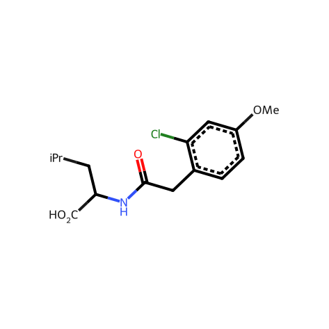 COc1ccc(CC(=O)NC(CC(C)C)C(=O)O)c(Cl)c1